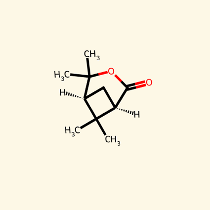 CC1(C)OC(=O)[C@@H]2C[C@H]1C2(C)C